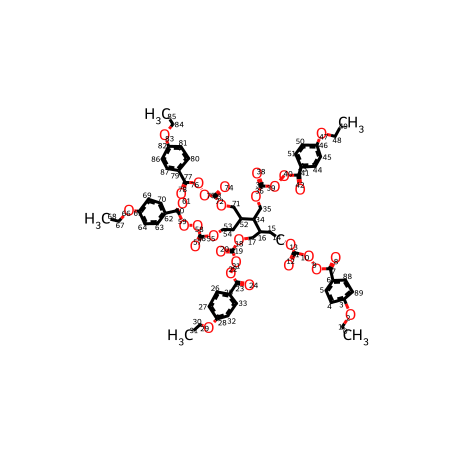 CCOc1ccc(C(=O)OOC(=O)OCCC(COC(=O)OOC(=O)c2ccc(OCC)cc2)C(COC(=O)OOC(=O)c2ccc(OCC)cc2)C(CCOC(=O)OOC(=O)c2ccc(OCC)cc2)COC(=O)OOC(=O)c2ccc(OCC)cc2)cc1